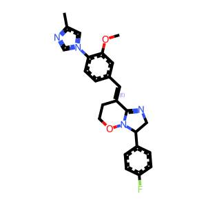 COc1cc(/C=C2\CCON3C2=NCC3c2ccc(F)cc2)ccc1-n1cnc(C)c1